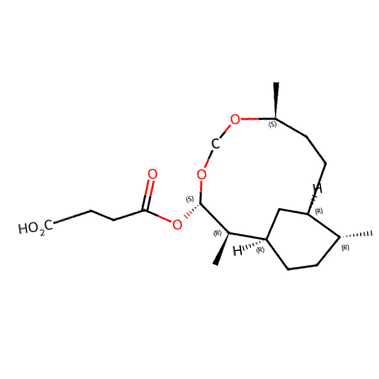 C[C@@H]1[C@@H]2CC[C@@H](C)[C@H](CC[C@H](C)OCO[C@H]1OC(=O)CCC(=O)O)C2